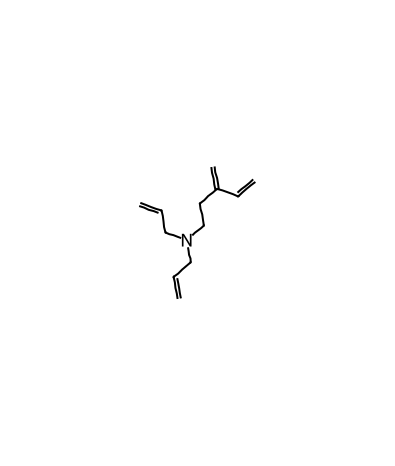 C=CCN(CC=C)CCC(=C)C=C